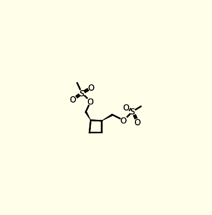 CS(=O)(=O)OC[C@H]1CC[C@H]1COS(C)(=O)=O